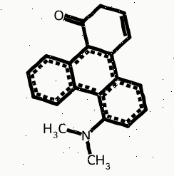 CN(C)c1cccc2c3c(c4ccccc4c12)C(=O)CC=C3